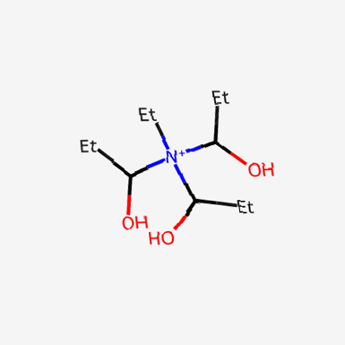 CCC(O)[N+](CC)(C(O)CC)C(O)CC